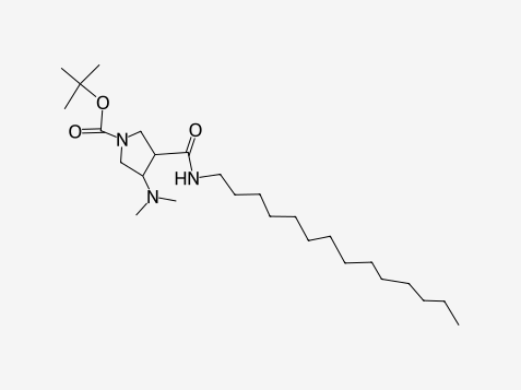 CCCCCCCCCCCCCCNC(=O)C1CN(C(=O)OC(C)(C)C)CC1N(C)C